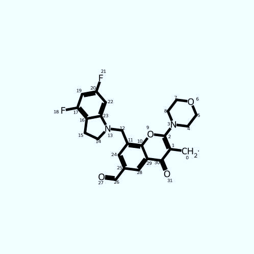 [CH2]c1c(N2CCOCC2)oc2c(CN3CCc4c(F)cc(F)cc43)cc(C=O)cc2c1=O